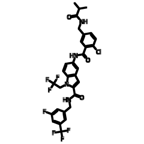 CC(C)C(=O)NCc1ccc(Cl)c(C(=O)Nc2ccc3c(c2)cc(C(=O)NCc2cc(F)cc(C(F)(F)F)c2)n3CC(F)(F)F)c1